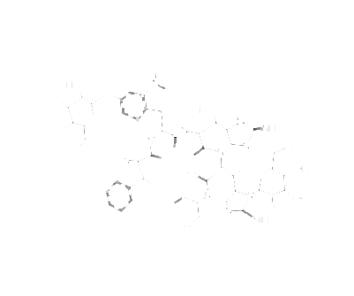 CC(c1ccccc1)C(N)C(=O)NC(Cc1ccc(OC2OC(CO)C(O)C(O)C2O)cc1[N+](=O)[O-])C(=O)NC(C(=O)NC(C(=O)NC([C]=O)CO)C(O)C1CNC(=N)N1C1OC(CO)C(O)C(O)C1O)C(O)C1CNC(=N)N1